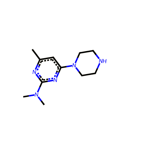 Cc1cc(N2CCNCC2)nc(N(C)C)n1